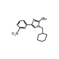 CC(C)(C)c1nc(-c2cccc([N+](=O)[O-])c2)cn1CC1CCCCC1